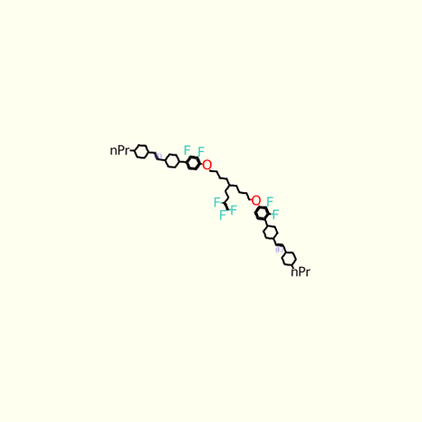 CCCC1CCC(/C=C/C2CCC(c3ccc(OCCCCC(CCCCOc4ccc(C5CCC(/C=C/C6CCC(CCC)CC6)CC5)c(F)c4F)CCC(F)=C(F)F)c(F)c3F)CC2)CC1